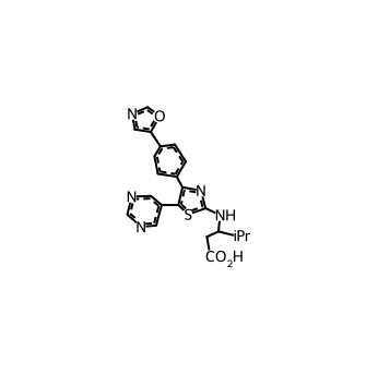 CC(C)C(CC(=O)O)Nc1nc(-c2ccc(-c3cnco3)cc2)c(-c2cncnc2)s1